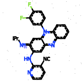 [C-]#[N+]c1cccnc1Nc1cc2nc3ccccc3n(-c3ccc(F)c(F)c3)c-2c/c1=N\C(C)C